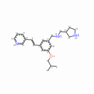 CC(C)COc1cc(/C=C/c2cccnc2)cc(CNCC2CCNC2)c1